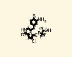 Nc1cc(Cc2c[nH]c(=O)c3cc(Cl)c(Cl)n23)ccc1F.O=C(O)C(F)(F)F